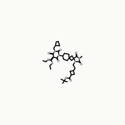 CCSC(SCC)=C1C(=O)N(CC2CCC2)C(=O)N(C2CCC3(CC2)CC2(C3)C(=O)N(C)C(=O)N2CCC2CC(C(=O)OC(C)(C)C)C2)C1=O